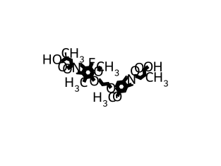 COc1cc2c(cc1OCCCOc1c(C)c3c(c(F)c1OC)CN(C(=O)C[C@H](C)C(=O)O)C3)CN(C(=O)C[C@H](C)C(=O)O)C2